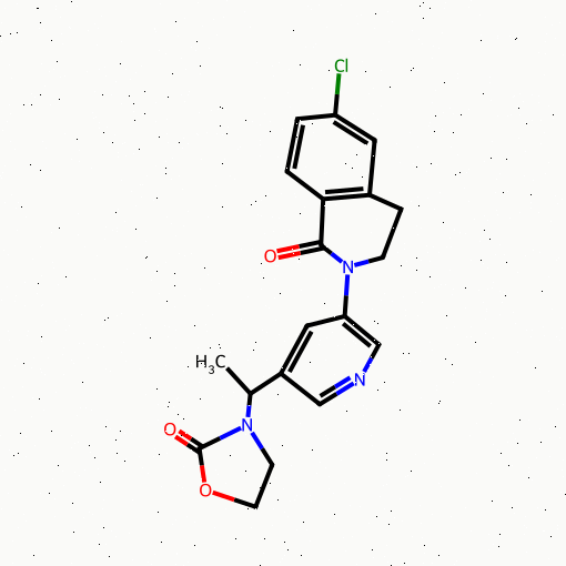 CC(c1cncc(N2CCc3cc(Cl)ccc3C2=O)c1)N1CCOC1=O